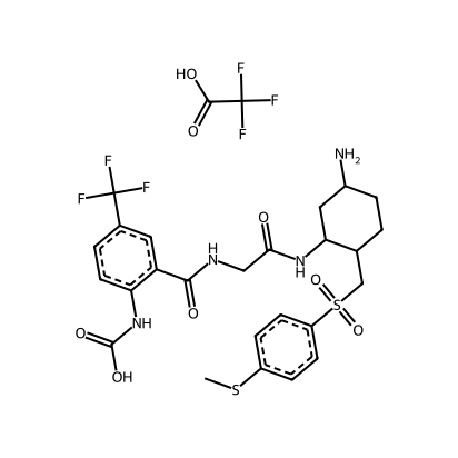 CSc1ccc(S(=O)(=O)CC2CCC(N)CC2NC(=O)CNC(=O)c2cc(C(F)(F)F)ccc2NC(=O)O)cc1.O=C(O)C(F)(F)F